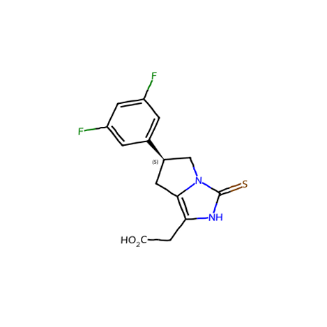 O=C(O)Cc1[nH]c(=S)n2c1C[C@@H](c1cc(F)cc(F)c1)C2